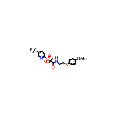 COc1ccc(SCCNC(=O)C(C)(C)S(=O)(=O)c2ccc(C(F)(F)F)cn2)cc1